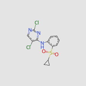 O=S(=O)(c1ccccc1Nc1nc(Cl)ncc1Cl)C1CC1